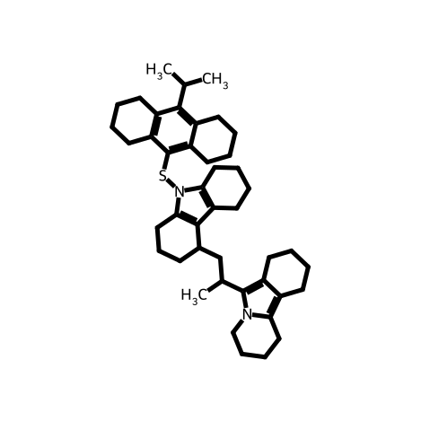 CC(C)c1c2c(c(Sn3c4c(c5c3CCCC5CC(C)c3c5c(c6n3CCCC6)CCCC5)CCCC4)c3c1CCCC3)CCCC2